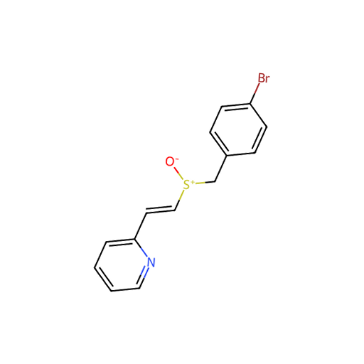 [O-][S+](C=Cc1ccccn1)Cc1ccc(Br)cc1